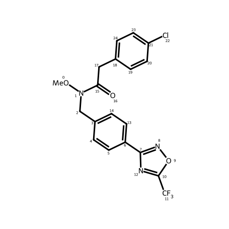 CON(Cc1ccc(-c2noc(C(F)(F)F)n2)cc1)C(=O)Cc1ccc(Cl)cc1